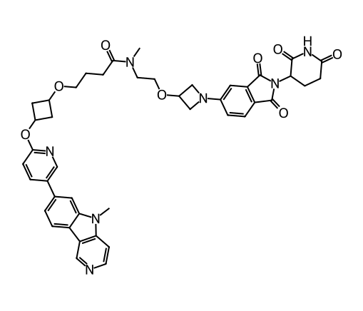 CN(CCOC1CN(c2ccc3c(c2)C(=O)N(C2CCC(=O)NC2=O)C3=O)C1)C(=O)CCCOC1CC(Oc2ccc(-c3ccc4c5cnccc5n(C)c4c3)cn2)C1